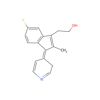 CC1=C(CCO)c2cc(F)ccc2/C1=C1\C=CN=CC1